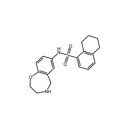 O=S(=O)(Nc1ccc2c(c1)CNCCO2)c1cccc2c1CCCC2